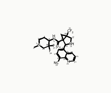 CN1CCC(NC(=O)C23CC2(C(F)(F)F)CNC3c2ccc(C#N)c3ncccc23)C(F)(F)C1